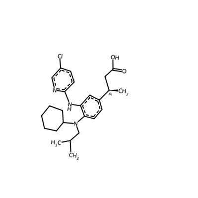 CC(C)CN(c1ccc([C@H](C)CC(=O)O)cc1Nc1ccc(Cl)cn1)C1CCCCC1